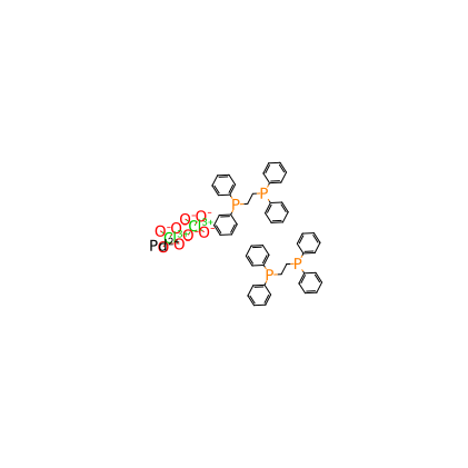 [O-][Cl+3]([O-])([O-])[O-].[O-][Cl+3]([O-])([O-])[O-].[Pd+2].c1ccc(P(CCP(c2ccccc2)c2ccccc2)c2ccccc2)cc1.c1ccc(P(CCP(c2ccccc2)c2ccccc2)c2ccccc2)cc1